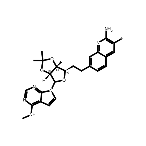 CNc1ncnc2c1ccn2C1O[C@H](CCc2ccc3cc(F)c(N)nc3c2)[C@H]2OC(C)(C)O[C@@H]12